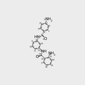 Nc1ccc(C(=O)Nc2cccc(NC(=O)c3ccccc3N)c2)cc1